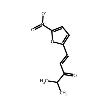 CC(C)C(=O)/C=C/c1ccc([N+](=O)[O-])o1